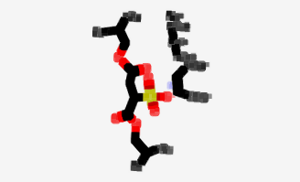 CCCCC(CC)COC(=O)CC(C(=O)OCC(CC)CCCC)S(=O)(=O)[O-].CCCCCCC[CH2][Sn+2][CH2]CCCCCCC.O=C([O-])/C=C\C(=O)[O-].[Na+]